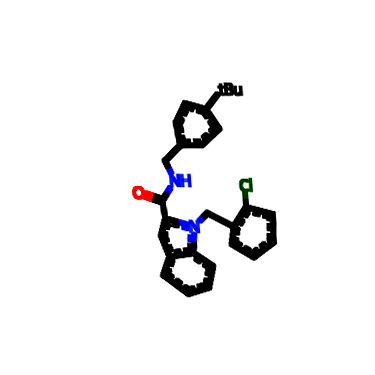 CC(C)(C)c1ccc(CNC(=O)c2cc3ccccc3n2Cc2ccccc2Cl)cc1